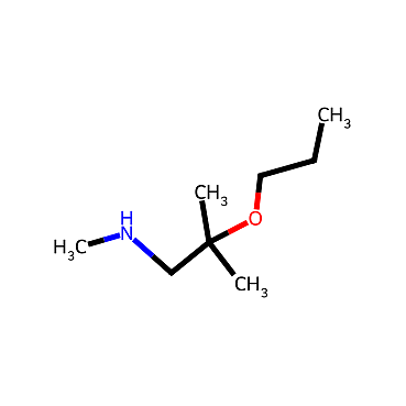 CCCOC(C)(C)CNC